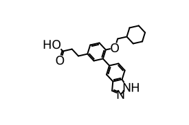 O=C(O)CCc1ccc(OCC2CCCCC2)c(-c2ccc3[nH]ncc3c2)c1